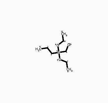 CCC[Si](CCl)(OCC)OCC